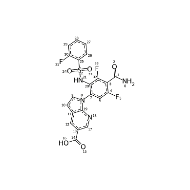 NC(=O)c1c(F)cc(-n2ccc3cc(C(=O)O)cnc32)c(NS(=O)(=O)c2ccccc2F)c1F